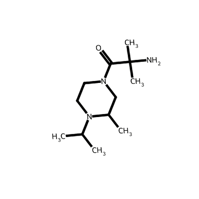 CC(C)N1CCN(C(=O)C(C)(C)N)CC1C